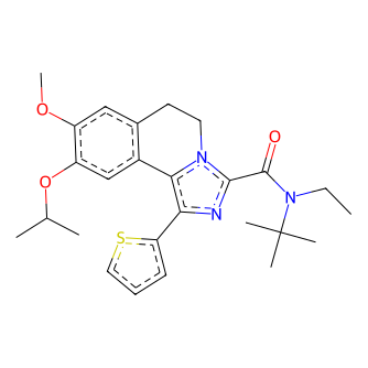 CCN(C(=O)c1nc(-c2cccs2)c2n1CCc1cc(OC)c(OC(C)C)cc1-2)C(C)(C)C